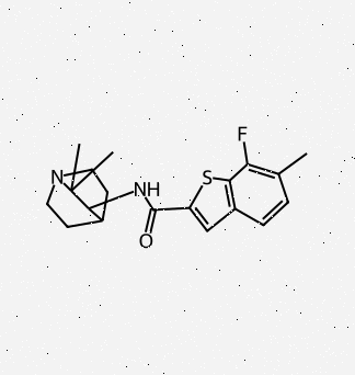 Cc1ccc2cc(C(=O)NC3C4CCN(CC4)C3(C)C)sc2c1F